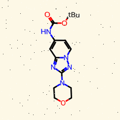 CC(C)(C)OC(=O)Nc1ccn2nc(N3CCOCC3)nc2c1